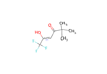 CC(C)(C)C(=O)/C=C(\O)C(F)(F)F